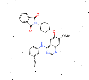 C#Cc1cccc(Nc2ncnc3cc(OC)c(O[C@H]4CC[C@@H](N5C(=O)c6ccccc6C5=O)CC4)cc23)c1